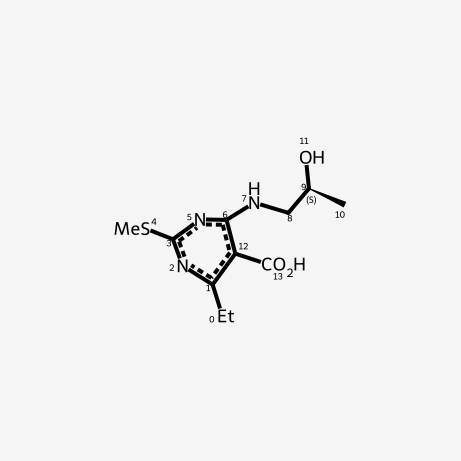 CCc1nc(SC)nc(NC[C@H](C)O)c1C(=O)O